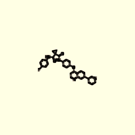 O=C(Nc1ccc(F)cc1)C1(C(=O)Nc2ccc(Oc3ccnc4cc(-c5cccnc5)ccc34)cc2)CC1